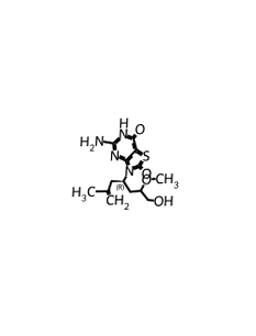 C=C(C)C[C@H](CC(CO)OC)n1c(=O)sc2c(=O)[nH]c(N)nc21